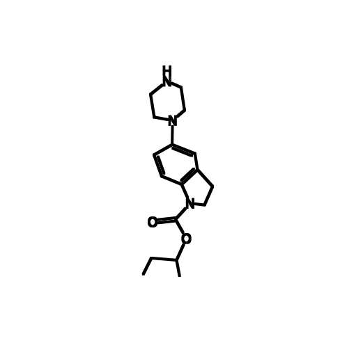 CCC(C)OC(=O)N1CCc2cc(N3CCNCC3)ccc21